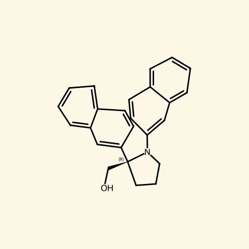 OC[C@]1(c2ccc3ccccc3c2)CCCN1c1ccc2ccccc2c1